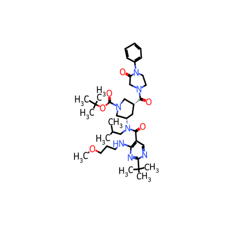 COCCCNc1nc(C(C)(C)C)ncc1C(=O)N(CC(C)C)[C@H]1C[C@@H](C(=O)N2CCN(c3ccccc3)C(=O)C2)CN(C(=O)OC(C)(C)C)C1